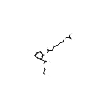 CCCOC(=O)c1ccccc1OC(=O)CCCCCNC(=N)N